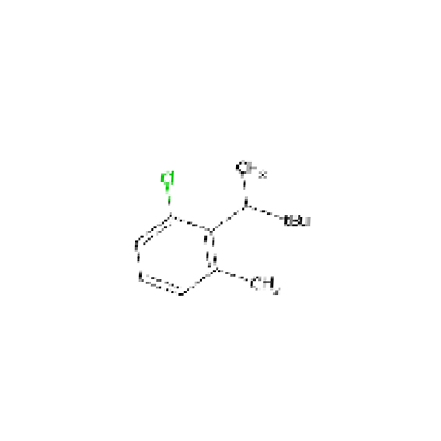 Cc1cccc(Cl)c1C(C)C(C)(C)C